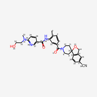 Cc1ccc(C(=O)N2CCC3(CC2)OCc2cc(C#N)ccc23)cc1NC(=O)c1ccc(N(C)CCO)nc1